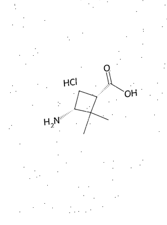 CC1(C)[C@H](N)C[C@@H]1C(=O)O.Cl